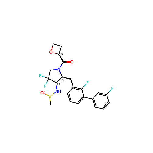 C[S+]([O-])N[C@@H]1[C@H](Cc2cccc(-c3cccc(F)c3)c2F)N(C(=O)[C@@H]2CCO2)CC1(F)F